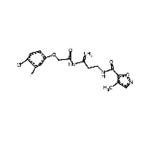 C=C(CCNC(=O)c1oncc1C)NC(=O)COc1ccc(Cl)c(F)c1